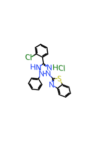 Cl.Clc1ccccc1C1=NN(c2nc3ccccc3s2)N(c2ccccc2)N1